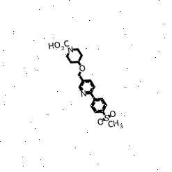 CS(=O)(=O)c1ccc(-c2ccc(COC3CCN(C(=O)O)CC3)cn2)cc1